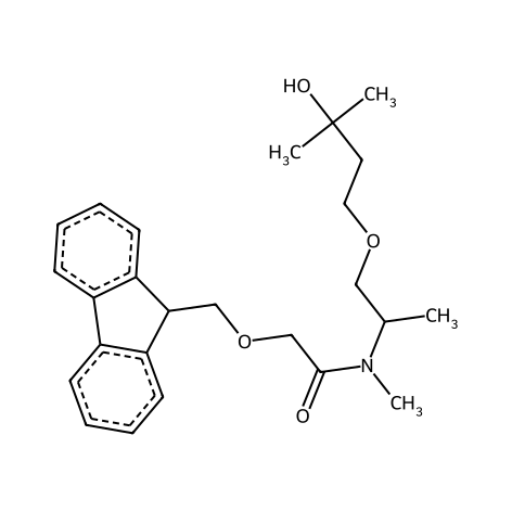 CC(COCCC(C)(C)O)N(C)C(=O)COCC1c2ccccc2-c2ccccc21